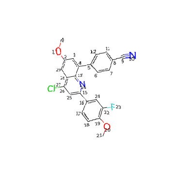 COc1cc(-c2ccc(C#N)cc2)c2nc(-c3ccc(OC)c(F)c3)cc(Cl)c2c1